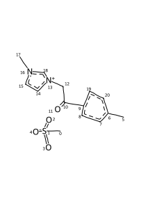 CS(=O)(=O)[O-].Cc1ccc(C(=O)C[n+]2ccn(C)c2)cc1